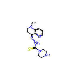 CC(=O)N1CC/C(=N/NC(=S)N2CCNCC2)c2ncccc21